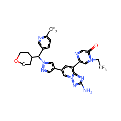 Nc1nc2c(-c3cn(CC(F)(F)F)c(=O)cn3)cc(-c3cnn(C(c4ccc(C(F)(F)F)nc4)C4CCOCC4)c3)cn2n1